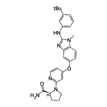 Cn1c(Nc2cccc(C(C)(C)C)c2)nc2cc(Oc3ccnc(N4CCC[C@H]4C(N)=O)c3)ccc21